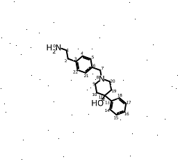 NCCc1ccc(CN2CCC(O)(c3ccccc3)CC2)cc1